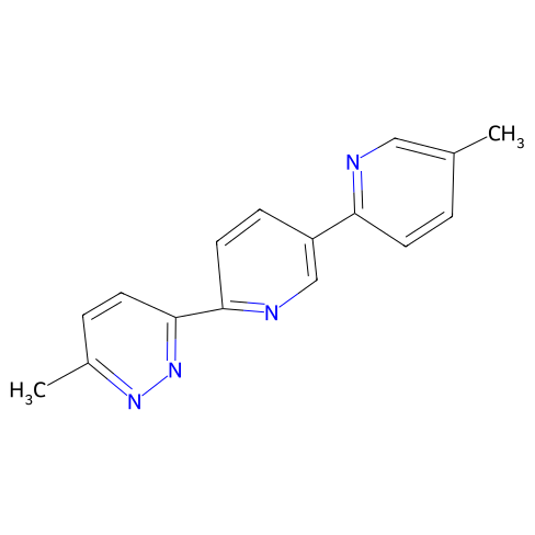 Cc1ccc(-c2ccc(-c3ccc(C)nn3)nc2)nc1